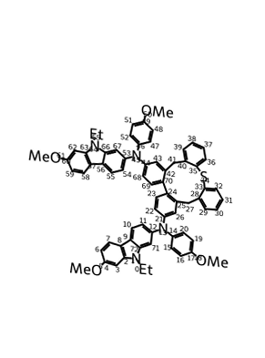 CCn1c2cc(OC)ccc2c2ccc(N(c3ccc(OC)cc3)c3ccc4c(c3)Cc3ccccc3Sc3ccccc3Cc3cc(N(c5ccc(OC)cc5)c5ccc6c7ccc(OC)cc7n(CC)c6c5)ccc3-4)cc21